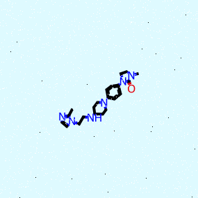 Cc1nccn1CCNC1CCN(c2ccc(N3CCN(C)C3=O)cc2)CC1